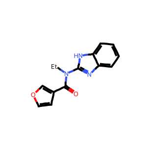 CCN(C(=O)c1ccoc1)c1nc2ccccc2[nH]1